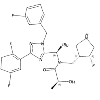 C[C@H](O)C(=O)N(C[C@@H]1CNC[C@@H]1F)[C@@H](c1nc(C2=C(F)CCC(F)=C2)nn1Cc1cccc(F)c1)C(C)(C)C